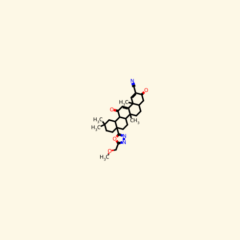 COCc1nnc(C23CCC4C(C(=O)C=C5C6(C)C=C(C#N)C(=O)CC6CCC54C)C2CC(C)(C)CC3)o1